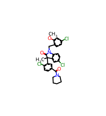 COc1cc(Cl)ccc1CN1C(=O)C(C)(c2cc(C(=O)N3CCCCC3)ccc2Cl)c2cc(Cl)ccc21